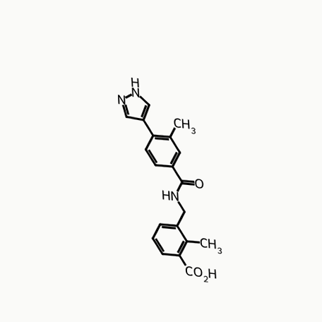 Cc1cc(C(=O)NCc2cccc(C(=O)O)c2C)ccc1-c1cn[nH]c1